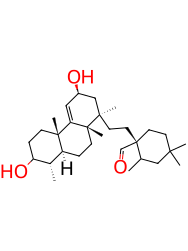 CC1CC(C)(C)CC[C@]1(C=O)CC[C@]1(C)C[C@H](O)C=C2[C@@]3(C)CCC(O)[C@@H](C)[C@@H]3CC[C@]21C